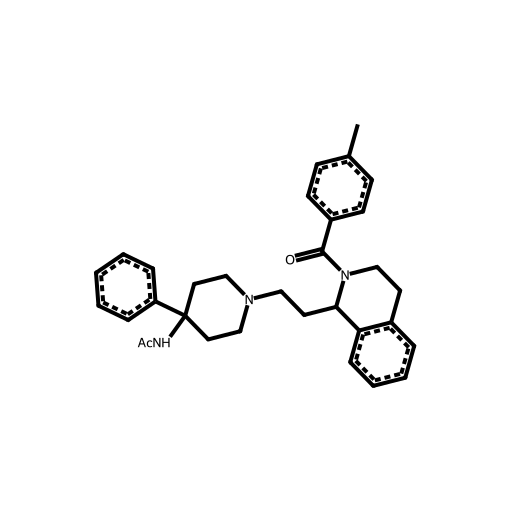 CC(=O)NC1(c2ccccc2)CCN(CCC2c3ccccc3CCN2C(=O)c2ccc(C)cc2)CC1